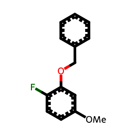 COc1ccc(F)c(OCc2ccccc2)c1